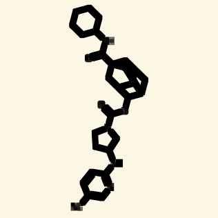 N#Cc1ccc(NC2CCN(C(=O)OC3C4CC5CC3CC(C(=O)NC3CCCCC3)(C5)C4)C2)nc1